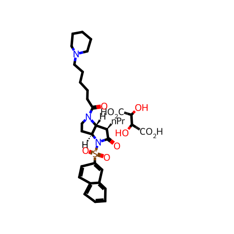 CCC[C@H]1C(=O)N(S(=O)(=O)c2ccc3ccccc3c2)[C@H]2CCN(C(=O)CCCCCN3CCCCC3)[C@H]12.O=C(O)C(O)C(O)C(=O)O